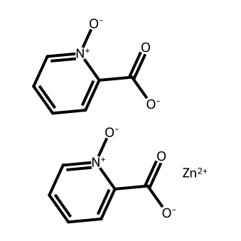 O=C([O-])c1cccc[n+]1[O-].O=C([O-])c1cccc[n+]1[O-].[Zn+2]